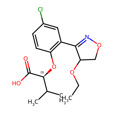 CCOC1CON=C1c1cc(Cl)ccc1O[C@H](C(=O)O)C(C)C